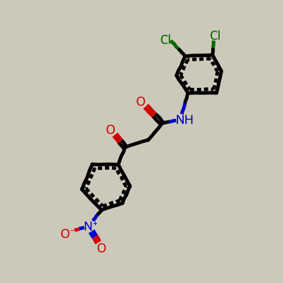 O=C(CC(=O)c1ccc([N+](=O)[O-])cc1)Nc1ccc(Cl)c(Cl)c1